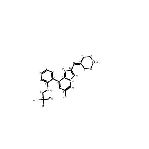 Fc1cc(-c2ccccc2OCC(F)(F)F)c2nc(C=C3CCOCC3)cn2c1